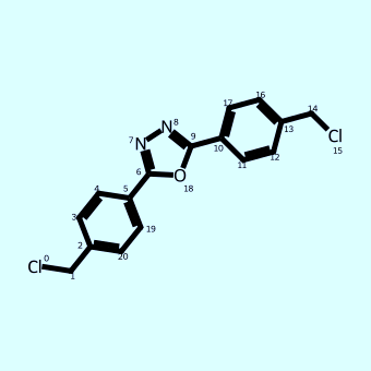 ClCc1ccc(-c2nnc(-c3ccc(CCl)cc3)o2)cc1